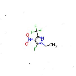 CCn1nc(C(F)(F)F)c([N+](=O)[O-])c1F